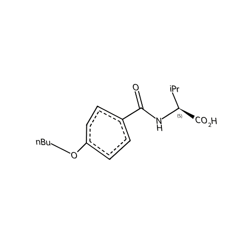 CCCCOc1ccc(C(=O)N[C@H](C(=O)O)C(C)C)cc1